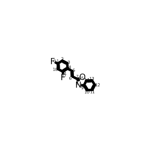 Fc1ccc(C=Cc2nc3ccccc3o2)c(F)c1